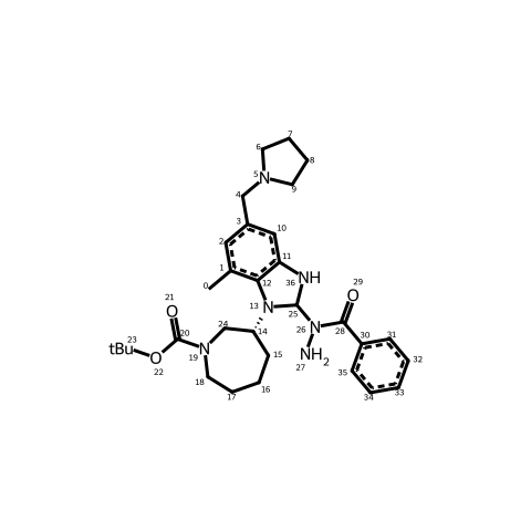 Cc1cc(CN2CCCC2)cc2c1N([C@@H]1CCCCN(C(=O)OC(C)(C)C)C1)C(N(N)C(=O)c1ccccc1)N2